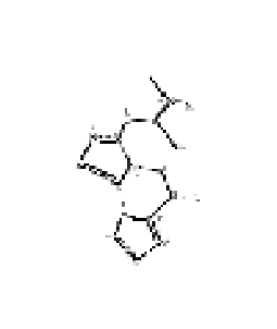 CC(Cn1ccnc1SC(C)N(C)C)c1cccs1